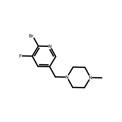 CN1CCN(Cc2cnc(Br)c(F)c2)CC1